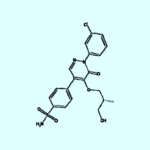 C[C@H](CO)COc1c(-c2ccc(S(N)(=O)=O)cc2)cnn(-c2cccc(Cl)c2)c1=O